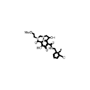 COCCN1CN2CC(O)c3c(C(=O)NCc4cccc(Cl)c4F)c(=O)c(O)c(n32)C1=O